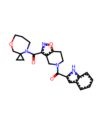 O=C(c1cc2ccccc2[nH]1)N1CCc2onc(C(=O)N3CCCOCC34CC4)c2C1